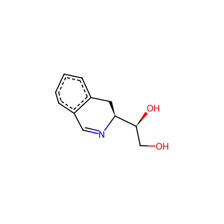 OC[C@H](O)[C@@H]1Cc2ccccc2C=N1